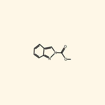 COC(=O)n1cc2ccccc2n1